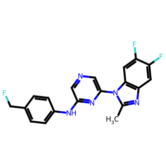 Cc1nc2cc(F)c(F)cc2n1-c1cncc(Nc2ccc(CF)cc2)n1